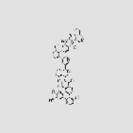 COc1ncc(-c2cccc(Cl)c2-c2ccc3c(=O)n(-c4cnc(-c5cncc(-c6cccc(Cl)c6-c6ccc7c(=O)n(-c8cncc9ccccc89)c(=O)[nH]c7c6)c5)c5ccccc45)c(=O)[nH]c3c2)cc1C#N